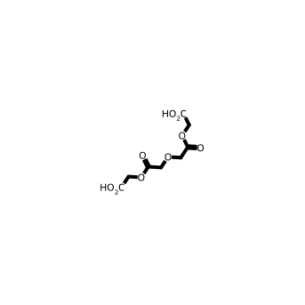 O=C(O)COC(=O)COCC(=O)OCC(=O)O